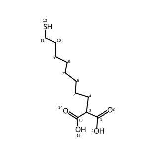 O=C(O)C(CCCCCCCCS)C(=O)O